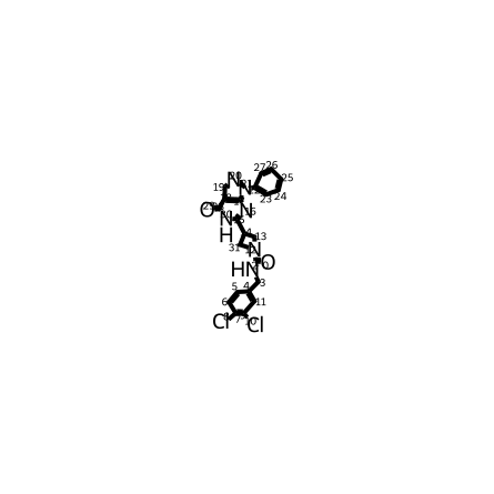 O=C(NCc1ccc(Cl)c(Cl)c1)N1CC(c2nc3c(cnn3-c3ccccc3)c(=O)[nH]2)C1